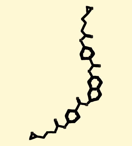 O=C(CCCC1CO1)Oc1ccc(C(=O)Oc2ccc3ccc(OC(=O)c4ccc(OC(=O)CCCC5CO5)cc4)cc3c2)cc1